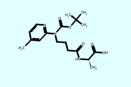 Cc1ccnc(N(CCCC(=O)N[C@@H](C)C(=O)O)C(=O)OC(C)(C)C)c1